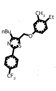 CCCCc1nc(-c2ccc(C(F)(F)F)cc2)sc1COc1ccc(CC)c(C)c1